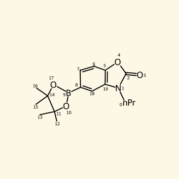 CCCn1c(=O)oc2ccc(B3OC(C)(C)C(C)(C)O3)cc21